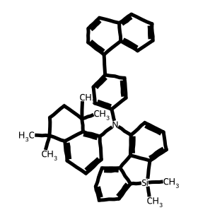 CC1(C)CCC(C)(C)c2c(N(c3ccc(-c4cccc5ccccc45)cc3)c3cccc4c3-c3ccccc3[Si]4(C)C)cccc21